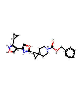 O=C(OCc1ccccc1)N1CCC2(CC1)C[C@H]2c1nc(-c2conc2C2CC2)co1